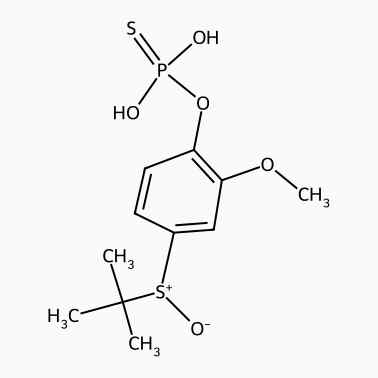 COc1cc([S+]([O-])C(C)(C)C)ccc1OP(O)(O)=S